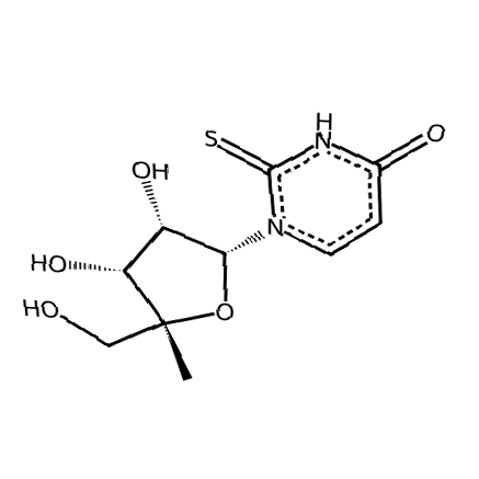 C[C@]1(CO)O[C@@H](n2ccc(=O)[nH]c2=S)[C@@H](O)[C@H]1O